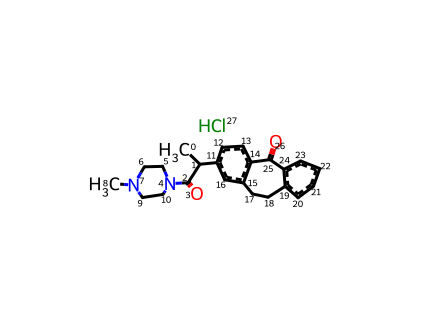 CC(C(=O)N1CCN(C)CC1)c1ccc2c(c1)CCc1ccccc1C2=O.Cl